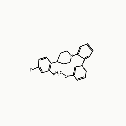 COC1=CN(c2ccccc2N2CCC(c3ccc(F)cc3F)CC2)CC=C1